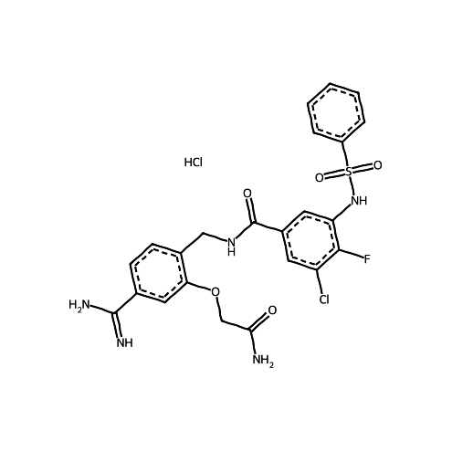 Cl.N=C(N)c1ccc(CNC(=O)c2cc(Cl)c(F)c(NS(=O)(=O)c3ccccc3)c2)c(OCC(N)=O)c1